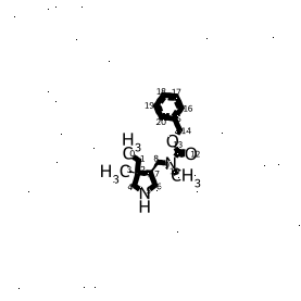 CC[C@]1(C)CNC[C@@H]1CN(C)C(=O)OCc1ccccc1